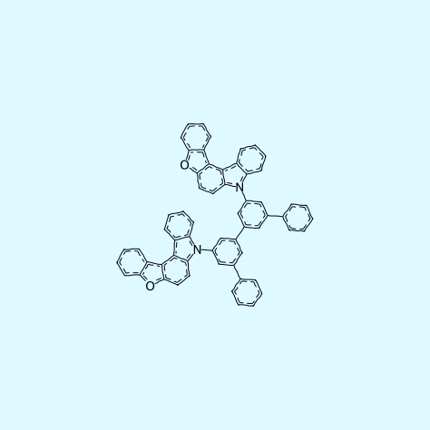 c1ccc(-c2cc(-c3cc(-c4ccccc4)cc(-n4c5ccccc5c5c6c(ccc54)oc4ccccc46)c3)cc(-n3c4ccccc4c4c5c(ccc43)oc3ccccc35)c2)cc1